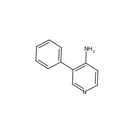 Nc1ccn[c]c1-c1ccccc1